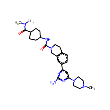 CN1CCN(c2cc(-c3ccc4c(c3)CN(C(=O)NC3CCC(C(=O)N(C)C)CC3)CC4)nc(N)n2)CC1